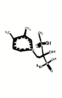 Cc1cc[n+](CC(O)(P(C)(=O)O)P(=O)(O)O)cc1C